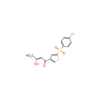 O=C(O)C(O)=CC(=O)c1csc(S(=O)(=O)c2ccc(Cl)cc2)c1